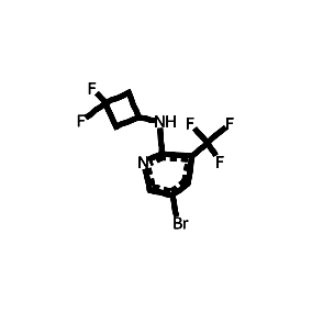 FC1(F)CC(Nc2ncc(Br)cc2C(F)(F)F)C1